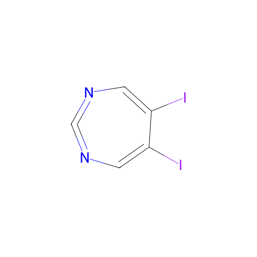 IC1=CN=C=NC=C1I